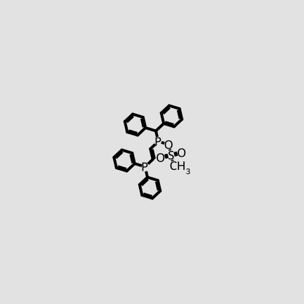 CS(=O)(=O)OP(C=CP(c1ccccc1)c1ccccc1)C(c1ccccc1)c1ccccc1